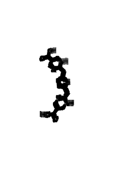 O=C(O)C1=CNC(/C=c2\cc/c(=C\C3=NC=C(C(=O)O)CN3)s2)N=C1